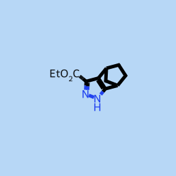 CCOC(=O)c1n[nH]c2c1C1CCC2C1